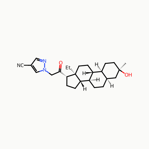 CC[C@]12CC[C@H]3[C@@H](CC[C@@H]4C[C@](C)(O)CC[C@@H]43)[C@@H]1CC[C@@H]2C(=O)Cn1cc(C#N)cn1